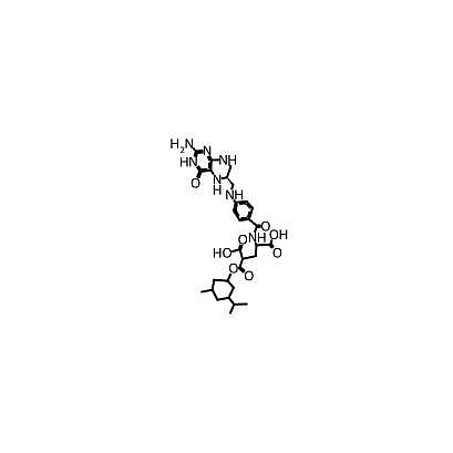 CC1CC(OC(=O)C(CC(NC(=O)c2ccc(NC[C@@H]3CNc4nc(N)[nH]c(=O)c4N3)cc2)C(=O)O)C(=O)O)CC(C(C)C)C1